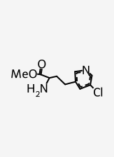 COC(=O)C(N)CCc1cncc(Cl)c1